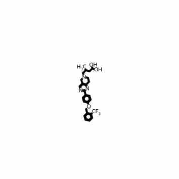 CC(CC(O)O)CN1CCc2nc(-c3ccc(OCc4ccccc4C(F)(F)F)cc3)ncc2C1